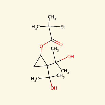 CCC(C)(C)C(=O)OC1CC1(C(C)(C)O)C(C)(C)O